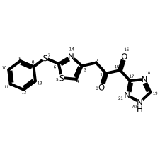 O=C(Cc1csc(Sc2ccccc2)n1)C(=O)c1nc[nH]n1